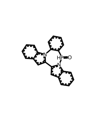 O=[PH]1c2ccccc2-n2c(cc3ccccc32)-c2cc3ccccc3n21